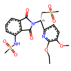 CCOc1nc([C@@H](CS(C)(=O)=O)N2C(=O)c3cccc(NS(C)(=O)=O)c3C2=O)ccc1OC